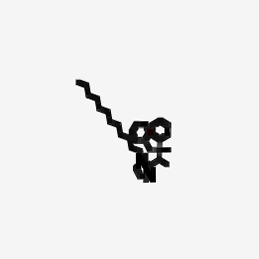 CCCCCCCCCCCCn1ccnc1C(C)C(C)(Cc1ccccc1)c1ccccc1